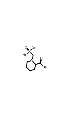 O=C(O)C1CCCCN1CP(=O)(O)O